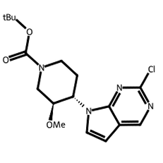 CO[C@H]1CN(C(=O)OC(C)(C)C)CC[C@@H]1n1ccc2cnc(Cl)nc21